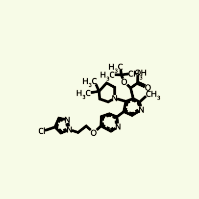 Cc1ncc(-c2ccc(OCCn3cc(Cl)cn3)cn2)c(N2CCC(C)(C)CC2)c1C(OC(C)(C)C)C(=O)O